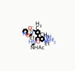 CC[C@@H]1CN(Cc2cc(C(CC(=O)NCCNC(C)=O)c3ccc(N(N)CC)c(N)c3C)ccc2C)[S+]([O-])c2cccnc2O1